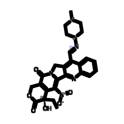 CC[C@@]1(O)C(=O)OCc2c1c([N+](=O)[O-])c1n(c2=O)Cc2c-1nc1ccccc1c2/C=N/N1CCN(C)CC1